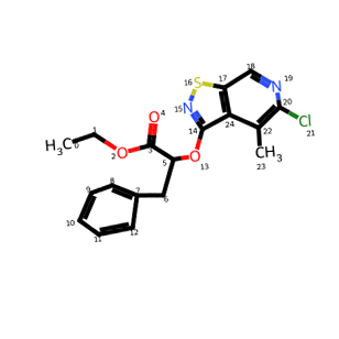 CCOC(=O)C(Cc1ccccc1)Oc1nsc2cnc(Cl)c(C)c12